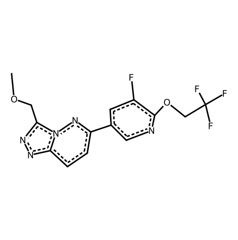 COCc1nnc2ccc(-c3cnc(OCC(F)(F)F)c(F)c3)nn12